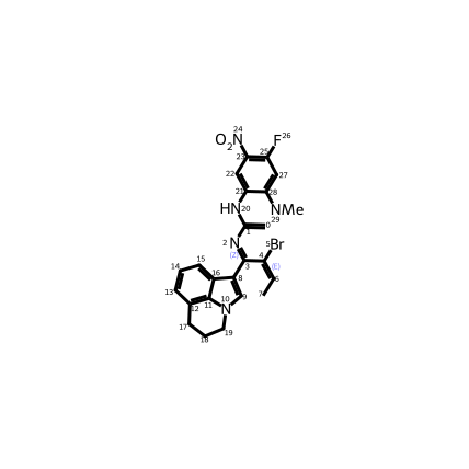 C=C(/N=C(\C(Br)=C/C)c1cn2c3c(cccc13)CCC2)Nc1cc([N+](=O)[O-])c(F)cc1NC